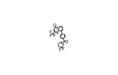 O=C(c1ccc(-c2cccn3c(=O)cc(C(F)(F)F)nc23)cc1)N1CCCC(F)(F)C1